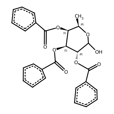 C[C@H]1OC(O)[C@H](OC(=O)c2ccccc2)[C@@H](OC(=O)c2ccccc2)[C@H]1OC(=O)c1ccccc1